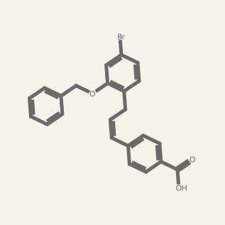 O=C(O)c1ccc(/C=C\Cc2ccc(Br)cc2OCc2ccccc2)cc1